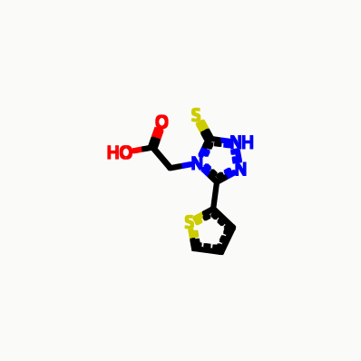 O=C(O)Cn1c(-c2cccs2)n[nH]c1=S